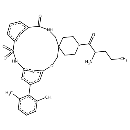 CCCC(N)C(=O)N1CCC2(CC1)CNC(=O)c1cccc(c1)S(=O)(=O)Nc1nc(cc(-c3c(C)cccc3C)n1)OC2